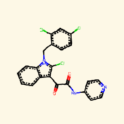 O=C(Nc1ccncc1)C(=O)c1c(Cl)n(Cc2ccc(Cl)cc2Cl)c2ccccc12